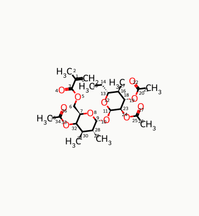 C=C(C)C(=O)OC[C@H]1O[C@H](O[C@H]2O[C@H](CC)[C@@H](C)[C@H](OC(C)=O)[C@H]2OC(C)=O)[C@H](C)[C@@H](C)C1OC(C)=O